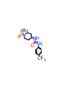 CC(C)(C)[S+]([O-])N1CCC(NC(=O)Nc2ccc(C(F)(F)F)cc2)CC1